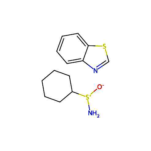 N[S+]([O-])C1CCCCC1.c1ccc2scnc2c1